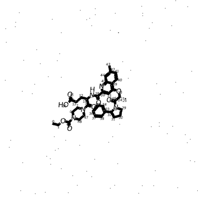 CCOC(=O)N1CCN(C(=O)C(CCC(=O)O)NC(=O)c2cc(O[C@H](C)C(=O)N3CCCC3c3ccccc3)c3ccc(C)cc3n2)CC1